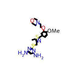 COc1ccc(-c2nc(CSc3nc(N)cc(N)n3)c(C)s2)cc1OCCN1CCOCC1